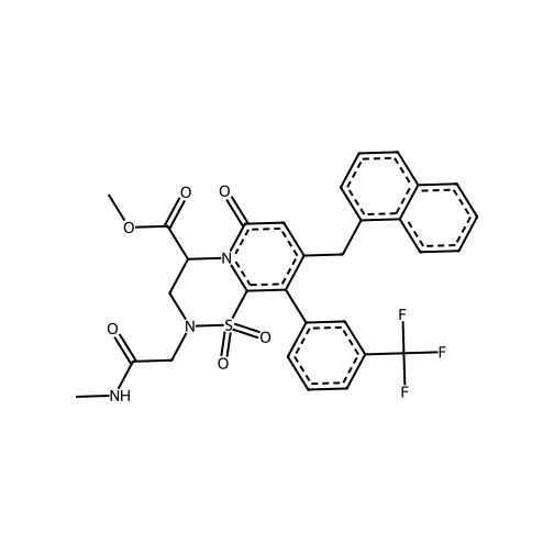 CNC(=O)CN1CC(C(=O)OC)n2c(c(-c3cccc(C(F)(F)F)c3)c(Cc3cccc4ccccc34)cc2=O)S1(=O)=O